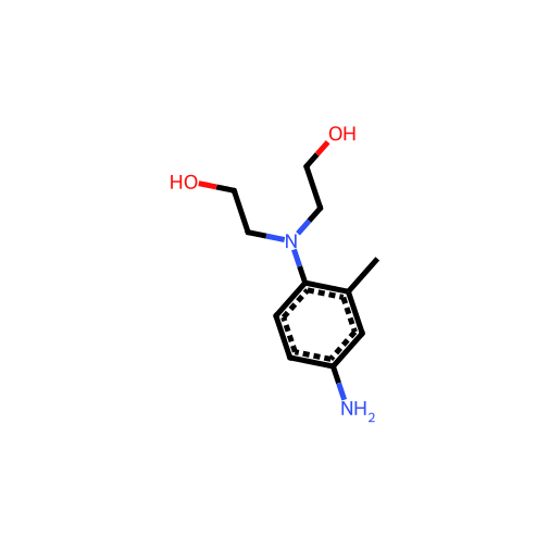 Cc1cc(N)ccc1N(CCO)CCO